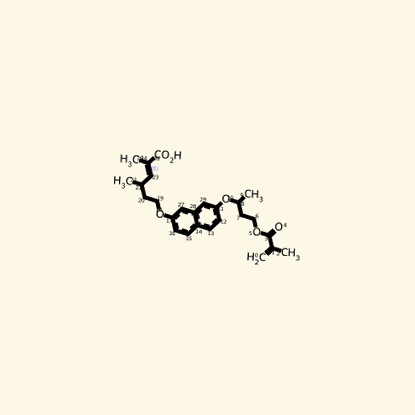 C=C(C)C(=O)OCCC(C)Oc1ccc2ccc(OCCC(C)/C=C(\C)C(=O)O)cc2c1